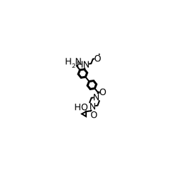 COCCNc1cc(-c2ccc(C(=O)N3CCN(C(=O)C4(O)CC4)CC3)cc2)ccc1CN